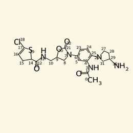 CC(=O)Nc1cc(N2CC(CNC(=O)C3CC=C(Cl)S3)OC2=O)ccc1N1CCC(N)C1